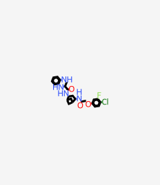 O=C(COc1ccc(Cl)c(F)c1)NC1CC(NC(=O)C2CNc3ccccc3N2)C2CC1C2